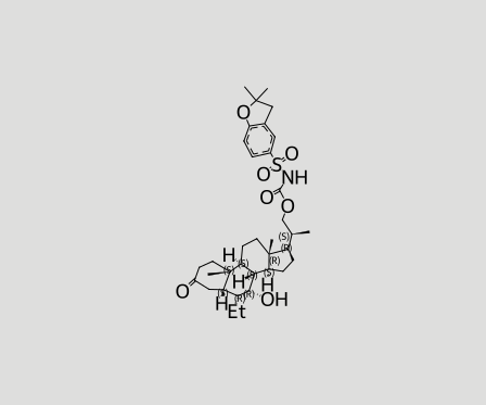 CC[C@H]1[C@@H](O)[C@@H]2[C@H](CC[C@]3(C)[C@@H]([C@H](C)COC(=O)NS(=O)(=O)c4ccc5c(c4)CC(C)(C)O5)CC[C@@H]23)[C@@]2(C)CCC(=O)C[C@@H]12